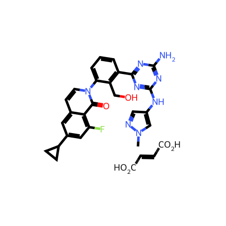 Cn1cc(Nc2nc(N)nc(-c3cccc(-n4ccc5cc(C6CC6)cc(F)c5c4=O)c3CO)n2)cn1.O=C(O)C=CC(=O)O